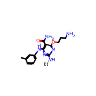 CCNc1nc(Nc2cccc(C)c2)c(C(N)=O)c(OCCCN)n1